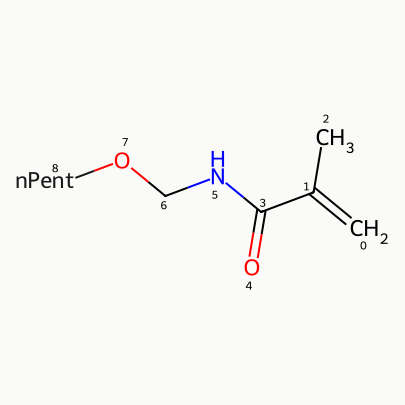 C=C(C)C(=O)NCOCCCCC